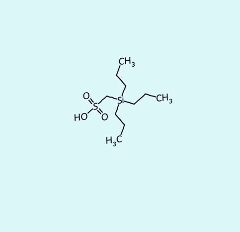 CCC[Si](CCC)(CCC)CS(=O)(=O)O